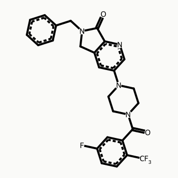 O=C(c1cc(F)ccc1C(F)(F)F)N1CCN(c2cnc3c(c2)CN(Cc2ccccc2)C3=O)CC1